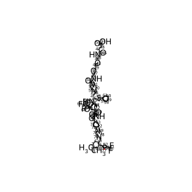 CC1(C)CCC(CN2CCN(c3ccc(C(=O)NS(=O)(=O)c4ccc(N[C@H](CCN5CCN(C(=O)NCCOCCOCCNC(=O)CCC(=O)O)CC5)CSc5ccccc5)c(S(=O)(=O)C(F)(F)F)c4)cc3)CC2)=C(C23CC(C(F)F)(C2)C3)C1